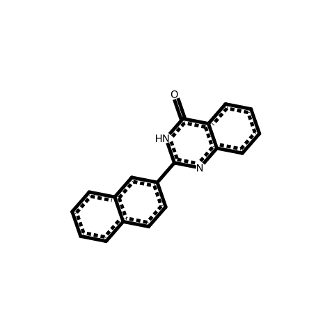 O=c1[nH]c(-c2ccc3ccccc3c2)nc2ccccc12